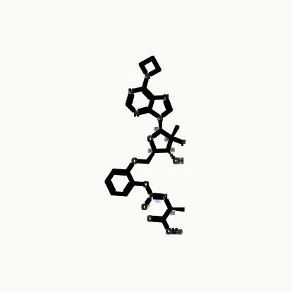 COC(=O)[C@H](C)/N=[P+](\[O-])Oc1ccccc1OC[C@H]1O[C@@H](n2cnc3c(N4CCC4)ncnc32)[C@](C)(F)[C@@H]1O